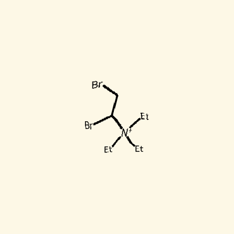 CC[N+](CC)(CC)C(Br)CBr